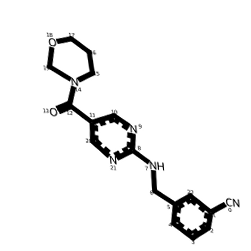 N#Cc1cccc(CNc2ncc(C(=O)N3CCCOC3)cn2)c1